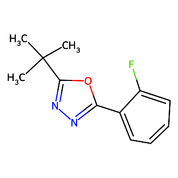 CC(C)(C)c1nnc(-c2ccccc2F)o1